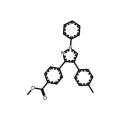 COC(=O)c1ccc(-c2nn(-c3ccccc3)cc2-c2ccc(C)cc2)cc1